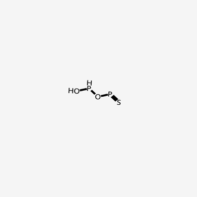 OPOP=S